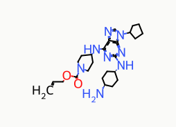 C=CCOC(=O)N1CCC(Nc2nc(N[C@H]3CC[C@H](N)CC3)nc3c2ncn3C2CCCC2)CC1